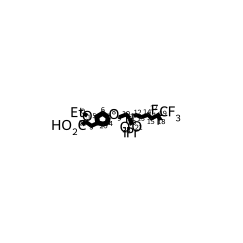 CCOC(Cc1ccc(OCCN(CCCCC(F)(F)C(F)(F)F)C(=O)OC(C)C)cc1)C(=O)O